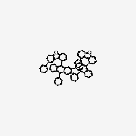 c1ccc(-c2ccc3oc4cccc(-c5c6ccccc6c(-c6ccccc6)c6ccc(-c7cccc(-c8cccc9oc%10cccc(-c%11c%12ccccc%12c(-c%12ccccc%12)c%12ccccc%11%12)c%10c89)c7)cc56)c4c3c2)cc1